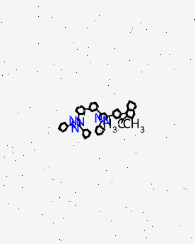 CC1(C)c2cc(-c3cc(-c4cccc(-c5cccc(-c6nc(-c7ccccc7)nc(-c7ccccc7)n6)c5)c4)nc(-c4ccccc4)n3)ccc2-c2c1ccc1ccccc21